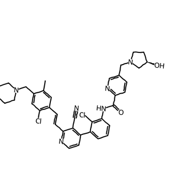 Cc1cc(/C=C/c2nccc(-c3cccc(NC(=O)c4ccc(CN5CC[C@@H](O)C5)cn4)c3Cl)c2C#N)c(Cl)cc1CN1CCCCC1